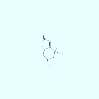 CC1(C)CC(O)C[C@@]2(C)OC(=O)C=C12